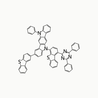 c1ccc(-c2nc(-c3ccccc3)nc(-c3ccc(-n4c5ccc(-c6ccc7sc8ccccc8c7c6)cc5c5cc6c(cc54)c4ccccc4n6-c4ccccc4)c4sc5ccccc5c34)n2)cc1